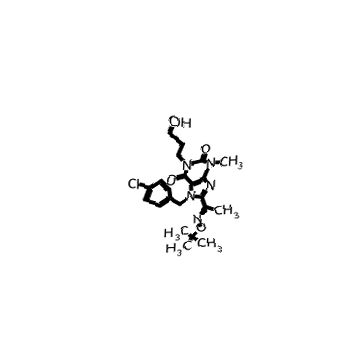 C/C(=N\OC(C)(C)C)c1nc2c(c(=O)n(CCCO)c(=O)n2C)n1Cc1ccc(Cl)cc1